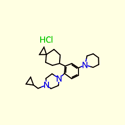 Cl.c1cc(N2CCN(CC3CC3)CC2)c(C2CCC3(CC2)CC3)cc1N1CCCCC1